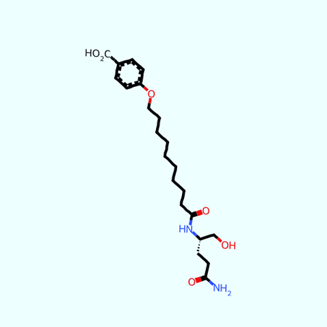 NC(=O)CC[C@@H](CO)NC(=O)CCCCCCCCCOc1ccc(C(=O)O)cc1